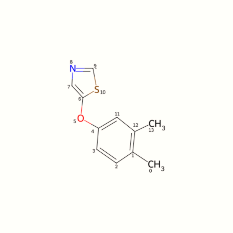 Cc1ccc(Oc2cn[c]s2)cc1C